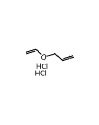 C=CCOC=C.Cl.Cl